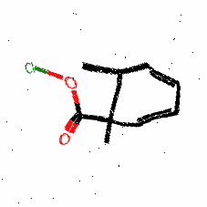 CC1C=CC=CC1(C)C(=O)OCl